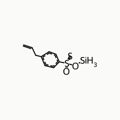 C=CCc1ccc(S(=O)(=S)O[SiH3])cc1